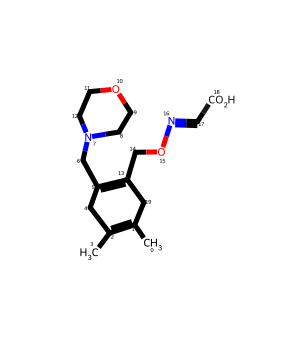 CC1=C(C)CC(CN2CCOCC2)=C(CON=CC(=O)O)C1